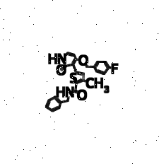 Cc1cc(-c2c(OCc3ccc(F)cc3)cc[nH]c2=O)sc1C(=O)NCc1ccccc1